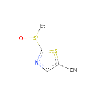 CC[S+]([O-])c1ncc(C#N)s1